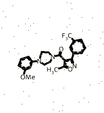 COc1cccc(N2CCN(C(=O)c3c(-c4cccc(C(F)(F)F)c4)noc3C)CC2)c1